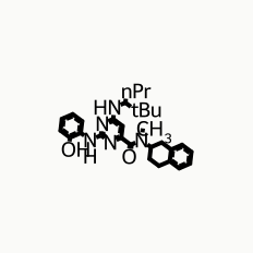 CCCC(Nc1cc(C(=O)N(C)C2CCc3ccccc3C2)nc(Nc2ccccc2O)n1)C(C)(C)C